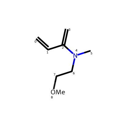 C=CC(=C)N(C)CCOC